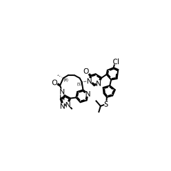 CC(C)Sc1ccc(-c2ccc(Cl)cc2-c2cc(=O)n([C@H]3CCC[C@@H](C)C(=O)Nc4cnn(C)c4-c4ccnc3c4)cn2)cc1